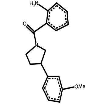 COc1cccc(C2CCN(C(=O)c3ccccc3N)C2)c1